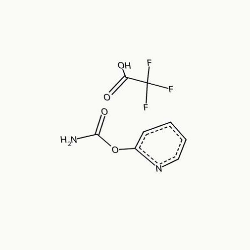 NC(=O)Oc1ccccn1.O=C(O)C(F)(F)F